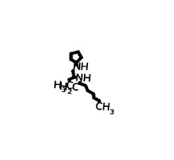 C=C(CCCCCC)NC(CC)CNC1CCCC1